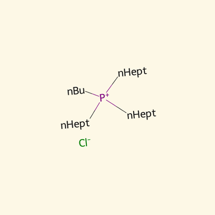 CCCCCCC[P+](CCCC)(CCCCCCC)CCCCCCC.[Cl-]